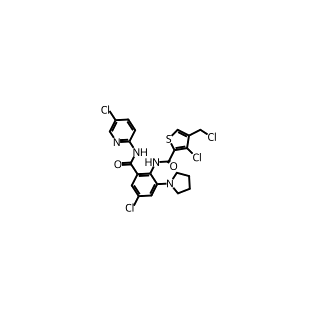 O=C(Nc1ccc(Cl)cn1)c1cc(Cl)cc(N2CCCC2)c1NC(=O)c1scc(CCl)c1Cl